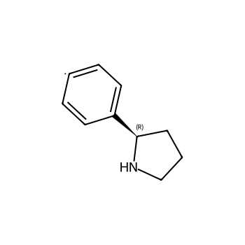 [c]1ccc([C@H]2CCCN2)cc1